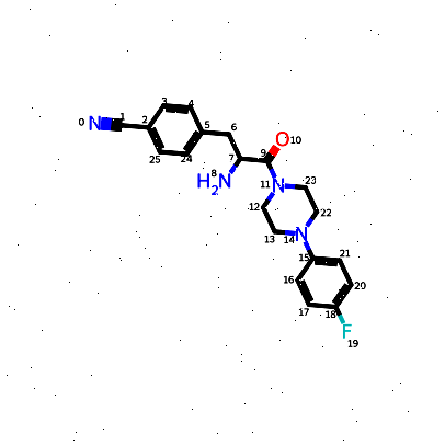 N#Cc1ccc(CC(N)C(=O)N2CCN(c3ccc(F)cc3)CC2)cc1